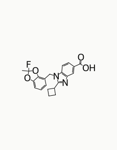 CC1(F)Oc2cccc(Cn3c(C4CCC4)nc4cc(C(=O)O)ccc43)c2O1